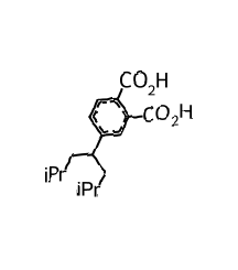 CC(C)CC(CC(C)C)c1ccc(C(=O)O)c(C(=O)O)c1